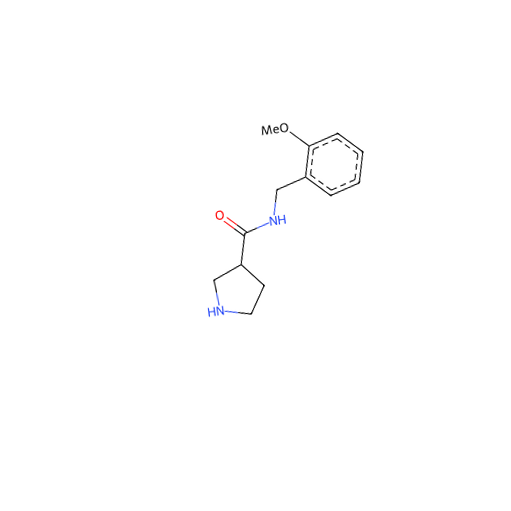 COc1ccccc1CNC(=O)C1CCNC1